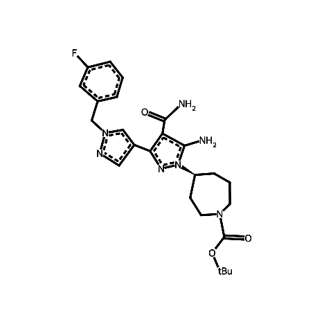 CC(C)(C)OC(=O)N1CCC[C@H](n2nc(-c3cnn(Cc4cccc(F)c4)c3)c(C(N)=O)c2N)CC1